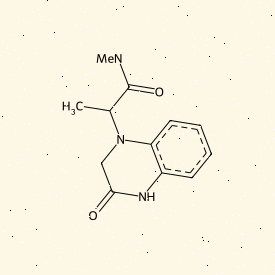 CNC(=O)C(C)N1CC(=O)Nc2ccccc21